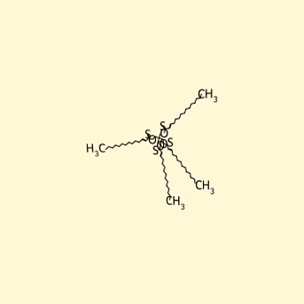 CCCCCCCCCCCCC=CC(=S)OCC(COC(=S)C=CCCCCCCCCCCCC)(COC(=S)C=CCCCCCCCCCCCC)COC(=S)C=CCCCCCCCCCCCC